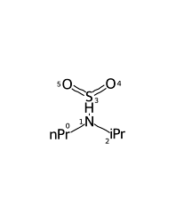 CCCN(C(C)C)[SH](=O)=O